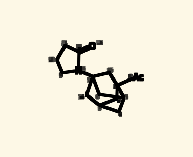 CC(=O)C12CC3CC1CC(N1CCCC1=O)(C3)C2